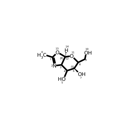 CC1=NC2C(O)[C@H](O)C(CO)O[C@@H]2O1